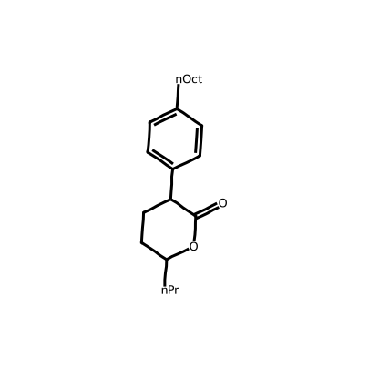 CCCCCCCCc1ccc(C2CCC(CCC)OC2=O)cc1